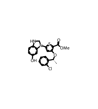 COC(=O)c1sc(N2CNc3ccc(O)cc32)cc1O[C@H](C)c1ccccc1Cl